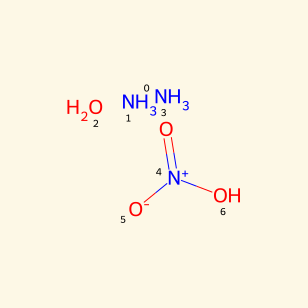 N.N.O.O=[N+]([O-])O